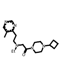 CCN(CCc1ncncc1C)CC(=O)N1CCN(C2CCC2)CC1